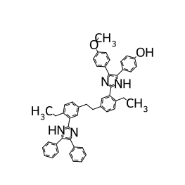 CCc1ccc(CCc2ccc(CC)c(-c3nc(-c4ccc(OC)cc4)c(-c4ccc(O)cc4)[nH]3)c2)cc1-c1nc(-c2ccccc2)c(-c2ccccc2)[nH]1